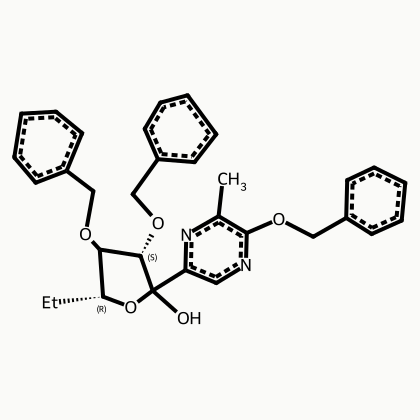 CC[C@H]1OC(O)(c2cnc(OCc3ccccc3)c(C)n2)[C@@H](OCc2ccccc2)C1OCc1ccccc1